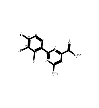 COC(=O)c1cc(N)nc(-c2ccc(Cl)c(F)c2F)n1